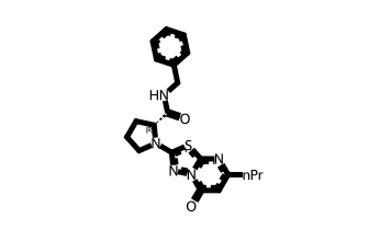 CCCc1cc(=O)n2nc(N3CCC[C@@H]3C(=O)NCc3ccccc3)sc2n1